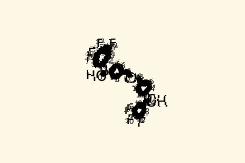 OB(c1ccc(COCc2ccc(B(O)c3cc(F)c(F)c(F)c3)cc2)cc1)c1cc(F)c(F)c(F)c1